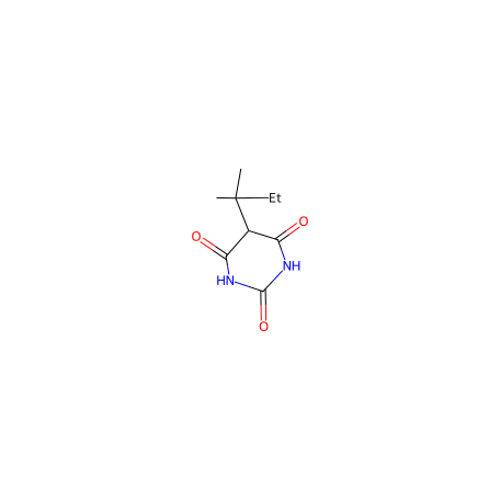 CCC(C)(C)C1C(=O)NC(=O)NC1=O